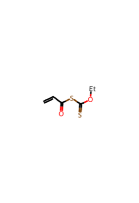 C=CC(=O)SC(=S)OCC